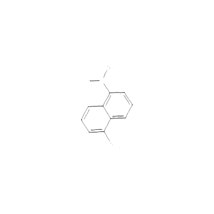 N[S+]([O-])c1cccc2c([N+](=O)[O-])cccc12